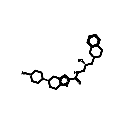 CC(=O)N1CCC([C@@H]2CCc3nc(C(=O)NC[C@H](O)CN4CCc5ccccc5C4)cn3C2)CC1